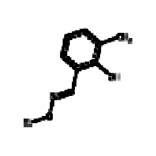 CCON=Cc1cccc(C)c1O